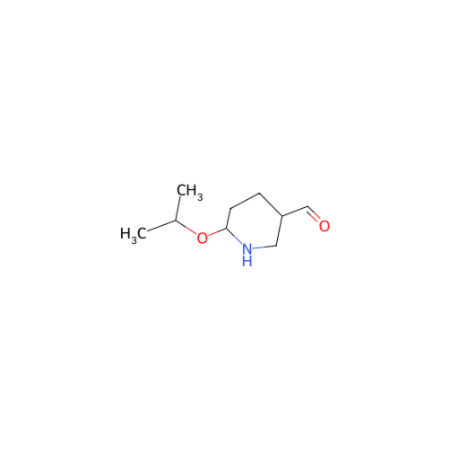 CC(C)OC1CCC(C=O)CN1